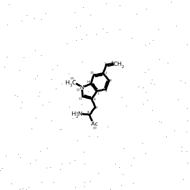 C=Cc1ccc2c(CC(N)C(C)=O)cn(C)c2c1